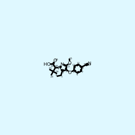 CCc1c(Oc2ccc(C#N)cc2)c(OC)nn1C(C(=O)O)C(C)(C)C